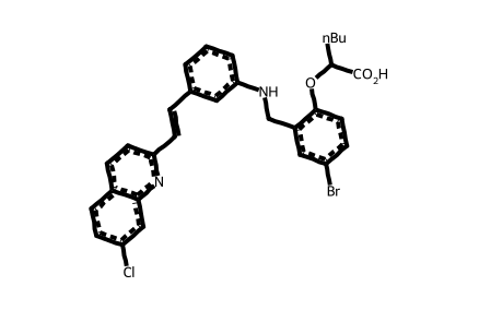 CCCCC(Oc1ccc(Br)cc1CNc1cccc(/C=C/c2ccc3ccc(Cl)cc3n2)c1)C(=O)O